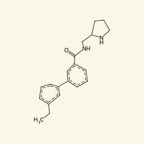 CCc1cccc(-c2cccc(C(=O)NCC3CCCN3)c2)c1